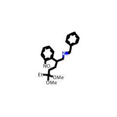 CCC(CCC(C/N=C/c1ccccc1)c1ccccc1[N+](=O)[O-])(OC)OC